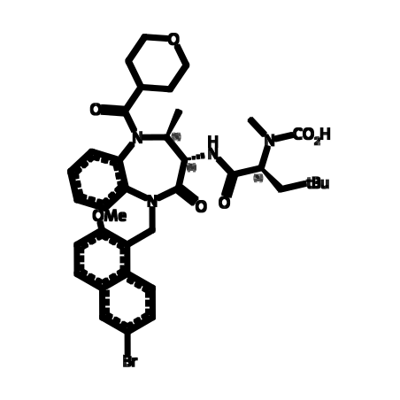 COc1ccc2cc(Br)ccc2c1CN1C(=O)[C@@H](NC(=O)[C@H](CC(C)(C)C)N(C)C(=O)O)[C@H](C)N(C(=O)C2CCOCC2)c2ccccc21